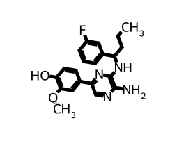 CCCC(Nc1nc(-c2ccc(O)c(OC)c2)cnc1N)c1cccc(F)c1